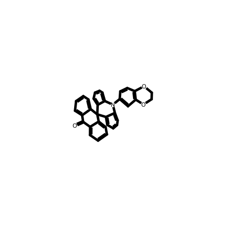 O=C1c2ccccc2C2(c3ccccc31)c1ccccc1N(c1ccc3c(c1)OCCO3)c1ccccc12